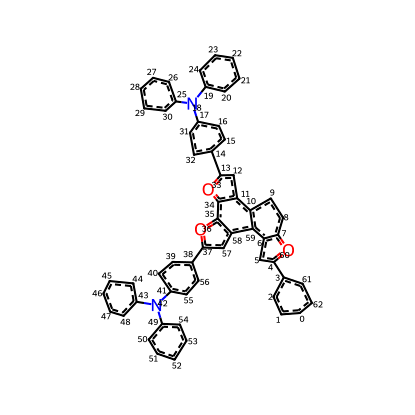 c1ccc(-c2cc3c(ccc4c5cc(-c6ccc(N(c7ccccc7)c7ccccc7)cc6)oc5c5oc(-c6ccc(N(c7ccccc7)c7ccccc7)cc6)cc5c34)o2)cc1